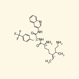 C/C=C(\CCC[C@H](N)C(=O)N[C@H](Cc1ccc(C(F)(F)F)cc1)C(=O)Nc1cnc2ccccc2c1)C(C)CCN